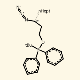 CCCCCCC[C@H](CCO[Si](c1ccccc1)(c1ccccc1)C(C)(C)C)N=[N+]=[N-]